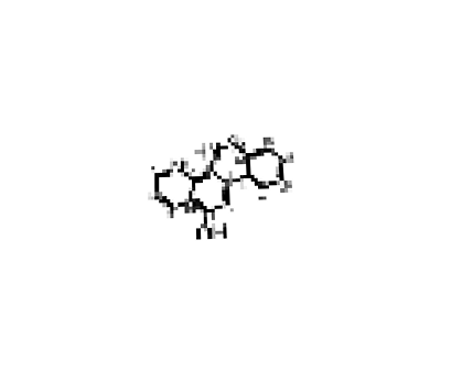 Oc1cc2c(c3ncccc13)NSc1ccccc1-2